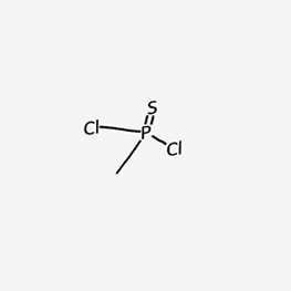 CP(=S)(Cl)Cl